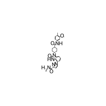 COc1cc(NC(=O)C2CCC(n3c(=O)[nH]c4c(-n5ccc(C(N)=O)n5)cccc43)CC2)ccc1C